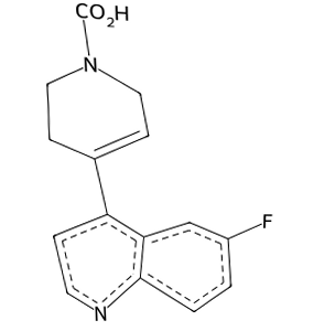 O=C(O)N1CC=C(c2ccnc3ccc(F)cc23)CC1